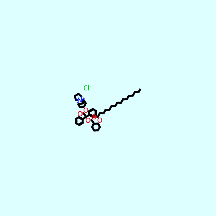 CCCCCCCCCCCCCCCC(=O)OC(OC(C(=O)OC1CC2CCC(C1)[N+]21CCCC1)(c1ccccc1)c1ccccc1)C1CCCCC1.[Cl-]